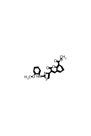 COC(=O)c1cccc2cc(-c3csc(Nc4ccccc4OC)n3)c(=O)oc12